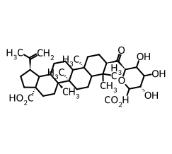 C=C(C)[C@@H]1CC[C@]2(C(=O)O)CC[C@]3(C)C(CCC4[C@@]5(C)CC[C@@H](C(=O)[C@@H]6OC(C(=O)O)[C@@H](O)C(O)C6O)C(C)(C)C5CC[C@]43C)C12